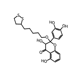 O=C1c2c(O)cccc2OC(OCCCCCC2CCSS2)(c2ccc(O)c(O)c2)C1O